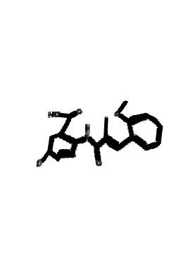 COc1ccccc1/C=C(\C)C(=O)Nc1ccc(Cl)cc1C(=O)O